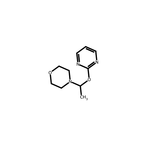 CC(Oc1n[c]ccn1)N1CCOCC1